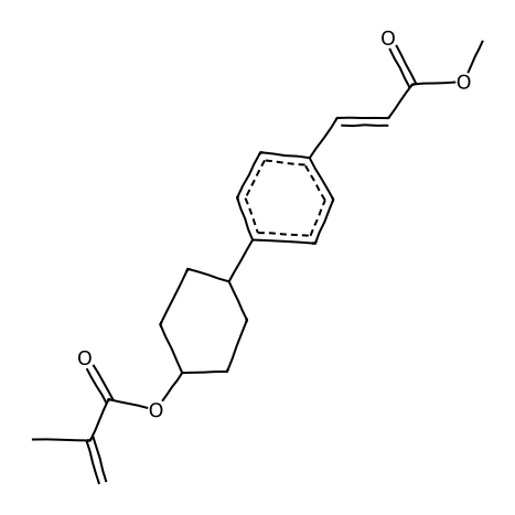 C=C(C)C(=O)OC1CCC(c2ccc(/C=C/C(=O)OC)cc2)CC1